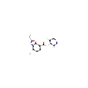 CCc1nc2c(OC)ccc(C(=O)Nc3c(Cl)cncc3Cl)c2o1